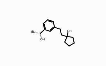 CC[C@@H](C)[C@@H](O)c1cccc(CCC2(O)CCCC2)c1